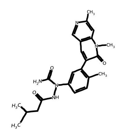 Cc1cc2c(cn1)cc(-c1cc(N(NC(=O)CC(C)C)C(N)=O)ccc1C)c(=O)n2C